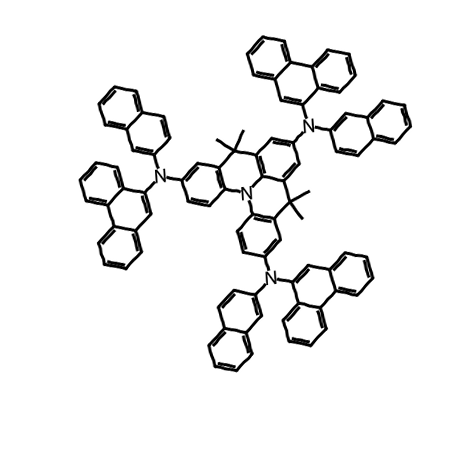 CC1(C)c2cc(N(c3ccc4ccccc4c3)c3cc4ccccc4c4ccccc34)ccc2N2c3ccc(N(c4ccc5ccccc5c4)c4cc5ccccc5c5ccccc45)cc3C(C)(C)c3cc(N(c4ccc5ccccc5c4)c4cc5ccccc5c5ccccc45)cc1c32